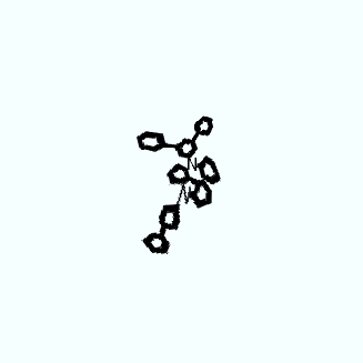 c1ccc(-c2ccc(-n3c4ccccc4c4c(N(c5ccccc5)c5cc(-c6ccccc6)cc(-c6ccccc6)c5)cccc43)cc2)cc1